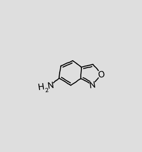 Nc1ccc2conc2c1